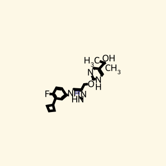 CC(C)(O)C1=CNC(OC/C(=C/Nc2ccc(F)c(C3CCC3)c2)N=N)N=C1